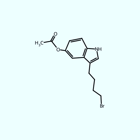 CC(=O)Oc1ccc2[nH]cc(CCCCBr)c2c1